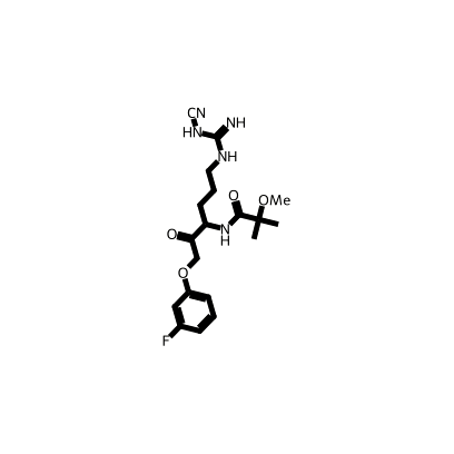 COC(C)(C)C(=O)NC(CCCNC(=N)NC#N)C(=O)COc1cccc(F)c1